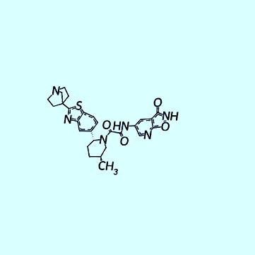 C[C@H]1CC[C@H](c2ccc3sc(C45CCN(CC4)C5)nc3c2)N(C(=O)C(=O)Nc2cnc3o[nH]c(=O)c3c2)C1